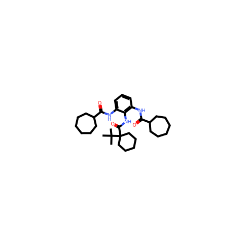 CC(C)(C)C1(C(=O)Nc2c(NC(=O)C3CCCCCC3)cccc2NC(=O)C2CCCCCC2)CCCCC1